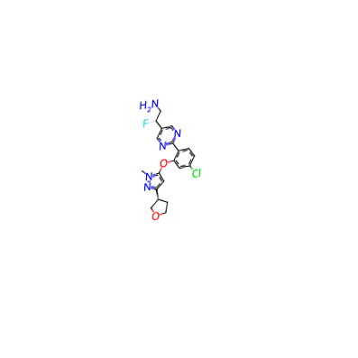 Cn1nc([C@H]2CCOC2)cc1Oc1cc(Cl)ccc1-c1ncc([C@H](F)CN)cn1